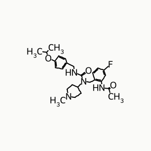 CC(=O)Nc1cc(F)ccc1CN(C(=O)NCc1ccc(OC(C)C)cc1)C1CCN(C)CC1